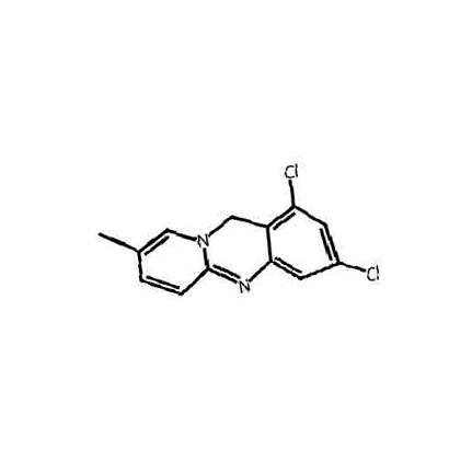 CC1=CN2Cc3c(Cl)cc(Cl)cc3N=C2C=C1